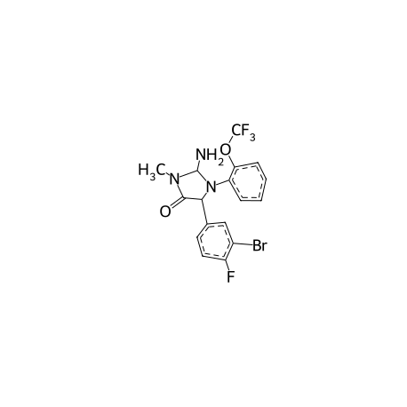 CN1C(=O)C(c2ccc(F)c(Br)c2)N(c2ccccc2OC(F)(F)F)C1N